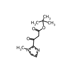 Cn1ccnc1C(=O)CC(=O)OC(C)(C)C